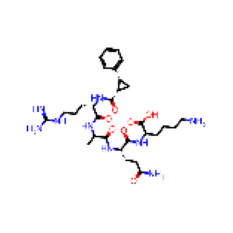 CC(NC(=O)[C@H](CCCNC(=N)N)NC(=O)[C@H]1C[C@H]1c1ccccc1)C(=O)N[C@@H](CCC(N)=O)C(=O)NC(CCCCN)C(=O)O